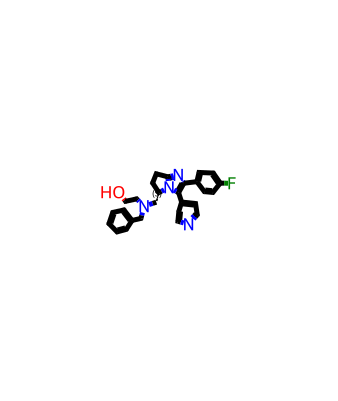 OCCN(Cc1ccccc1)C[C@@H]1CCc2nc(-c3ccc(F)cc3)c(-c3ccncc3)n21